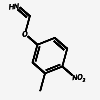 Cc1cc(OC=N)ccc1[N+](=O)[O-]